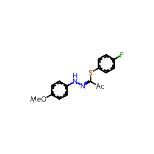 COc1ccc(NN=C(Sc2ccc(F)cc2)C(C)=O)cc1